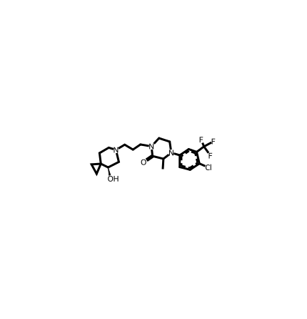 CC1C(=O)N(CCCN2CCC3(CC3)[C@H](O)C2)CCN1c1ccc(Cl)c(C(F)(F)F)c1